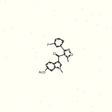 CC(=O)Oc1ccc2c(C(=O)c3c(-c4cccc(F)c4)noc3C)cn(C)c2c1